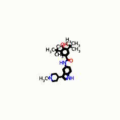 CN1CCC(c2c[nH]c3ccc(NC(=O)c4cc(C(C)(C)C)c(O)c(C(C)(C)C)c4)cc23)CC1